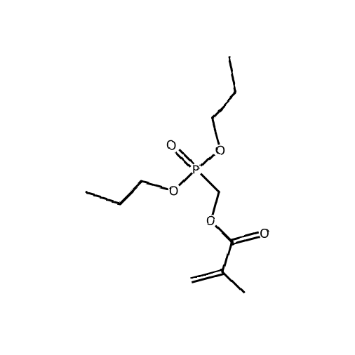 C=C(C)C(=O)OCP(=O)(OCCC)OCCC